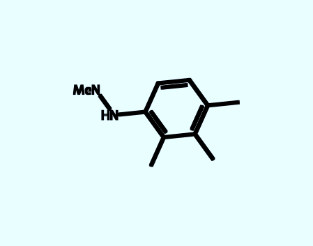 CNNc1ccc(C)c(C)c1C